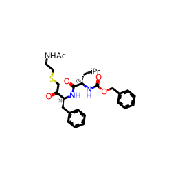 CC(=O)NCCSCC(=O)[C@H](Cc1ccccc1)NC(=O)[C@H](CC(C)C)NC(=O)OCc1ccccc1